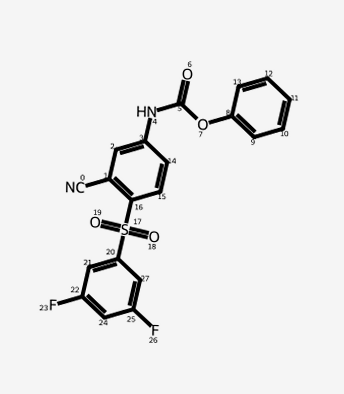 N#Cc1cc(NC(=O)Oc2ccccc2)ccc1S(=O)(=O)c1cc(F)cc(F)c1